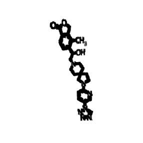 Cc1c(C(O)CN2CCC3(CC2)CCN(c2ccc(-n4cnnn4)cn2)C3)ccc2c1COC2=O